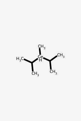 C[CH](C)[GeH]([CH3])[CH](C)C